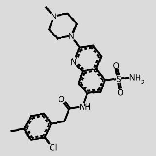 Cc1ccc(CC(=O)Nc2cc(S(N)(=O)=O)c3ccc(N4CCN(C)CC4)nc3c2)c(Cl)c1